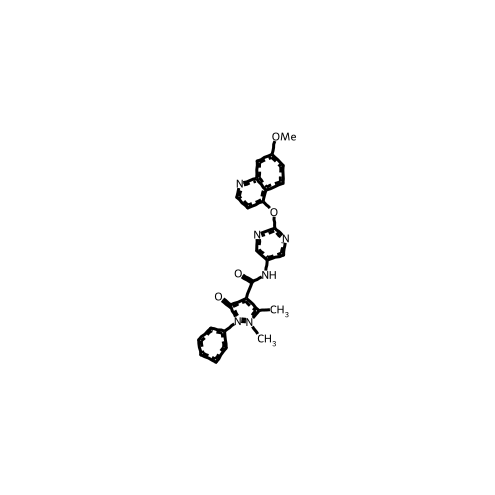 COc1ccc2c(Oc3ncc(NC(=O)c4c(C)n(C)n(-c5ccccc5)c4=O)cn3)ccnc2c1